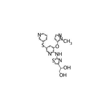 Cn1nccc1Oc1cc(Sc2cccnc2)cnc1Nc1nc(C(O)CO)cs1